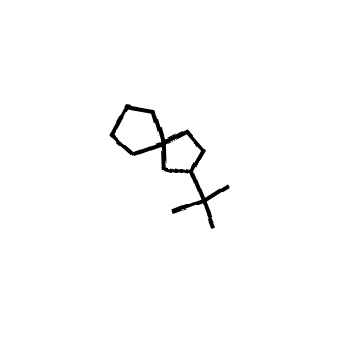 CC(C)(C)C1CCC2(CCCC2)C1